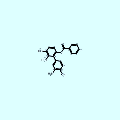 Nc1cc(-c2c(OC(=O)c3ccccc3)ccc(O)c2N)ccc1O